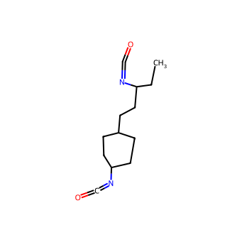 CCC(CCC1CCC(N=C=O)CC1)N=C=O